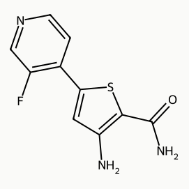 NC(=O)c1sc(-c2ccncc2F)cc1N